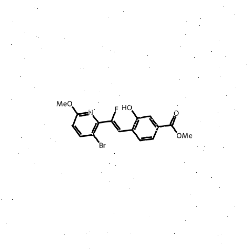 COC(=O)c1ccc(/C=C(\F)c2nc(OC)ccc2Br)c(O)c1